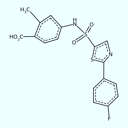 Cc1cc(NS(=O)(=O)c2cnc(-c3ccc(F)cc3)s2)ccc1C(=O)O